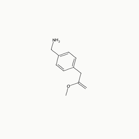 C=C(Cc1ccc(CN)cc1)OC